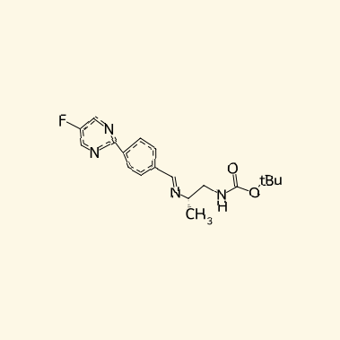 C[C@@H](CNC(=O)OC(C)(C)C)/N=C/c1ccc(-c2ncc(F)cn2)cc1